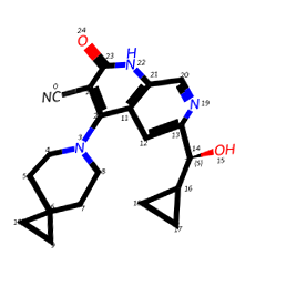 N#Cc1c(N2CCC3(CC2)CC3)c2cc([C@@H](O)C3CC3)ncc2[nH]c1=O